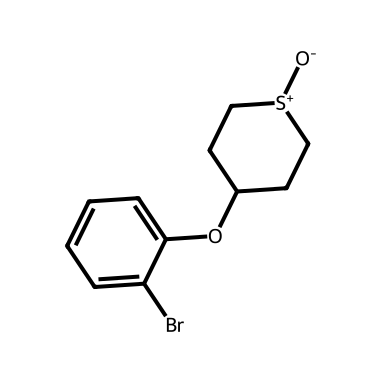 [O-][S+]1CCC(Oc2ccccc2Br)CC1